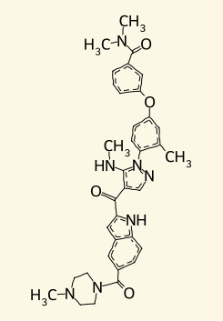 CNc1c(C(=O)c2cc3cc(C(=O)N4CCN(C)CC4)ccc3[nH]2)cnn1-c1ccc(Oc2cccc(C(=O)N(C)C)c2)cc1C